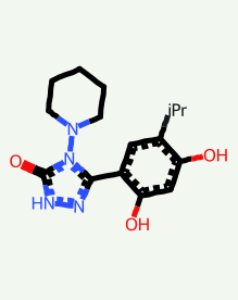 CC(C)c1cc(-c2n[nH]c(=O)n2N2CCCCC2)c(O)cc1O